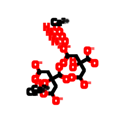 O.O.O.O.O=C([O-])CC(O)(CC(=O)[O-])C(=O)[O-].O=C([O-])CC(O)(CC(=O)[O-])C(=O)[O-].[Ca+2].[Ca+2].[Ca+2]